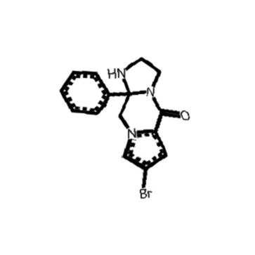 O=C1c2cc(Br)cn2CC2(c3ccccc3)NCCN12